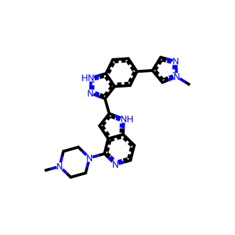 CN1CCN(c2nccc3[nH]c(-c4n[nH]c5ccc(-c6cnn(C)c6)cc45)cc23)CC1